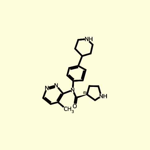 Cc1ccnnc1N(C(=O)[C@H]1CCNC1)c1ccc(C2CCNCC2)cc1